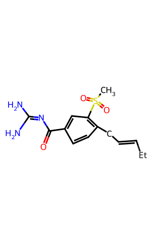 CC/C=C/Cc1ccc(C(=O)N=C(N)N)cc1S(C)(=O)=O